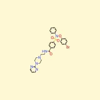 O=C(NCCN1CCN(c2ncccn2)CC1)c1ccc(S(=O)(=O)N(Oc2ccc(Br)cc2)c2ccccc2)cc1